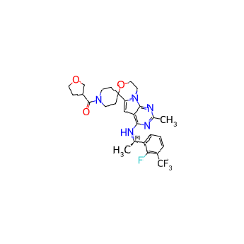 Cc1nc(N[C@H](C)c2cccc(C(F)(F)F)c2F)c2cc3n(c2n1)CCOC31CCN(C(=O)C2CCOC2)CC1